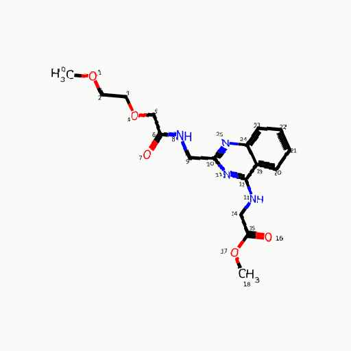 COCCOCC(=O)NCc1nc(NCC(=O)OC)c2ccccc2n1